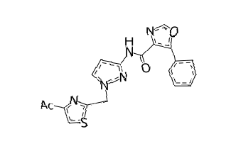 CC(=O)c1csc(Cn2ccc(NC(=O)c3ncoc3-c3ccccc3)n2)n1